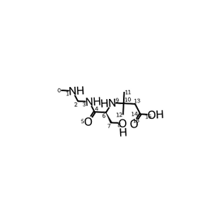 CNCNC(=O)[C@H](CO)NC(C)(C)CC(=O)O